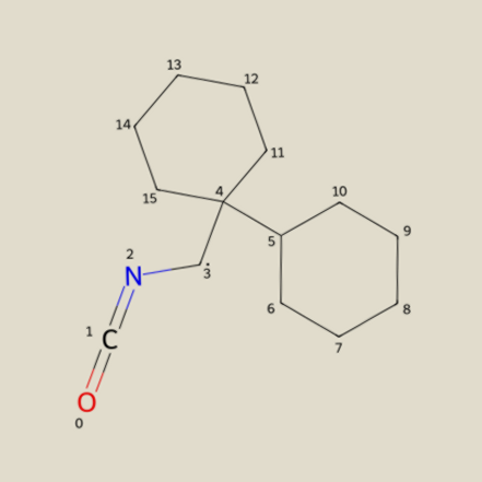 O=C=N[CH]C1(C2CCCCC2)CCCCC1